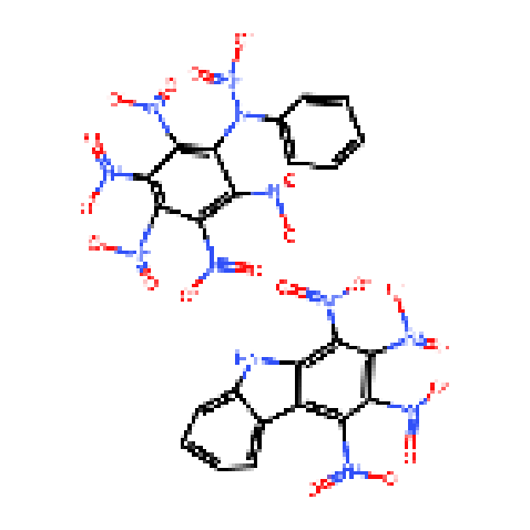 O=[N+]([O-])c1c(N(c2ccccc2)[N+](=O)[O-])c([N+](=O)[O-])c([N+](=O)[O-])c([N+](=O)[O-])c1[N+](=O)[O-].O=[N+]([O-])c1c([N+](=O)[O-])c([N+](=O)[O-])c2c([nH]c3ccccc32)c1[N+](=O)[O-]